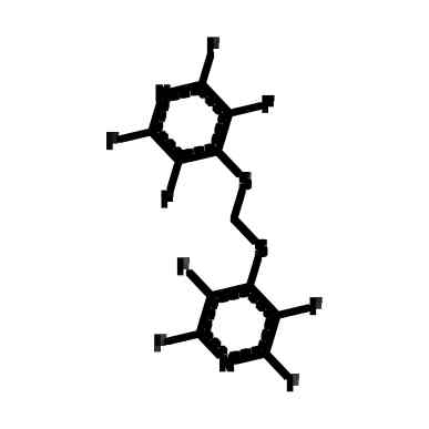 Fc1nc(F)c(F)c(SCSc2c(F)c(F)nc(F)c2F)c1F